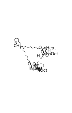 CCCCCCCCO[Si](C)(C)OC(CCCCCCC)OCCCCCCN(CCCCCCOC(CCCCCCC)O[Si](C)(C)OCCCCCCCC)CCC1CCCN1C